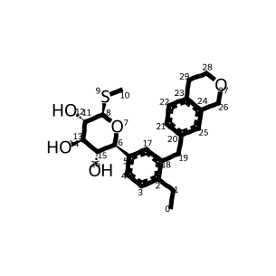 CCc1ccc([C@@H]2O[C@H](SC)[C@@H](O)[C@H](O)[C@H]2O)cc1Cc1ccc2c(c1)COCC2